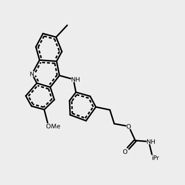 COc1ccc2nc3ccc(C)cc3c(Nc3cccc(CCOC(=O)NC(C)C)c3)c2c1